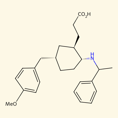 COc1ccc(C[C@H]2CC[C@@H](NC(C)c3ccccc3)[C@H](CCC(=O)O)C2)cc1